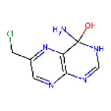 NC1(O)NC=Nc2ncc(CCl)nc21